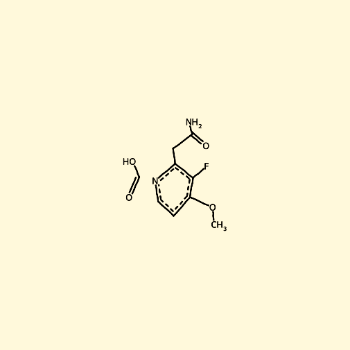 COc1ccnc(CC(N)=O)c1F.O=CO